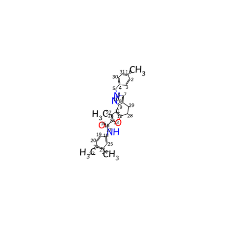 Cc1ccc(Cn2cc3c(n2)-c2c(oc(C(=O)Nc4ccc(C)c(C)c4)c2C)CC3)cc1